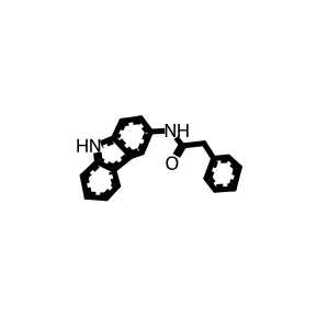 O=C(Cc1ccccc1)Nc1ccc2[nH]c3ccccc3c2c1